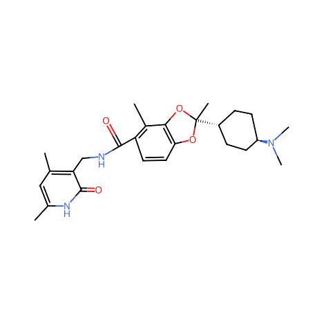 Cc1cc(C)c(CNC(=O)c2ccc3c(c2C)OC(C)([C@H]2CC[C@H](N(C)C)CC2)O3)c(=O)[nH]1